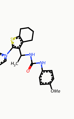 COc1ccc(NC(=O)NC(C)c2c(-n3cccc3)sc3c2CCCC3)cc1